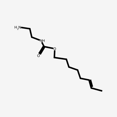 C/C=C/CCCCCOC(=O)NCCN